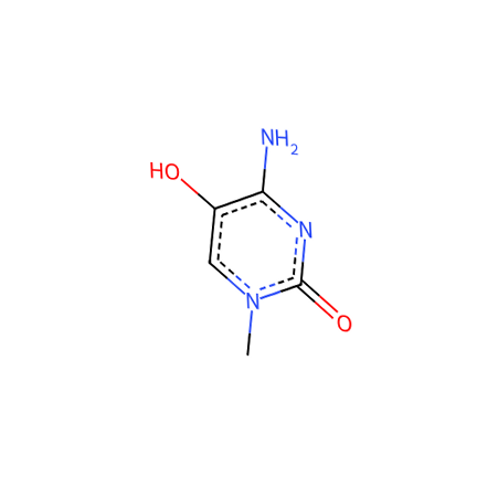 Cn1cc(O)c(N)nc1=O